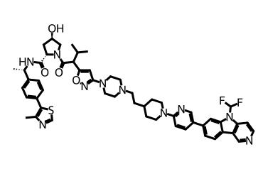 Cc1ncsc1-c1ccc([C@H](C)NC(=O)[C@@H]2C[C@@H](O)CN2C(=O)C(c2cc(N3CCN(CCC4CCN(c5ccc(-c6ccc7c8cnccc8n(C(F)F)c7c6)cn5)CC4)CC3)no2)C(C)C)cc1